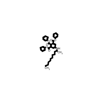 CCCCCCCCCCC(C)Nc1cc(C(=O)Oc2ccccc2)c(C(=O)Oc2ccccc2)c(C(=O)Oc2ccccc2)c1